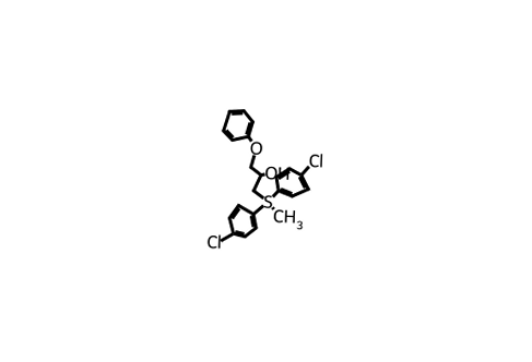 CS(CC(O)COc1ccccc1)(c1ccc(Cl)cc1)c1ccc(Cl)cc1